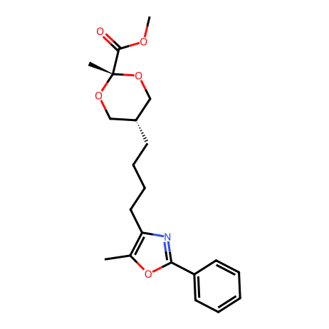 COC(=O)[C@]1(C)OC[C@H](CCCCc2nc(-c3ccccc3)oc2C)CO1